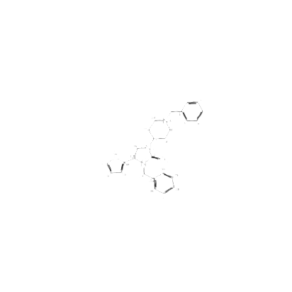 O=C1N(C2CCN(Cc3ccccc3)CC2)CC(c2cccs2)N1Cc1ccccc1